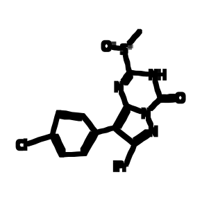 CC(C)c1nn2c(=O)[nH]c([S+](C)[O-])nc2c1-c1ccc(Cl)cc1